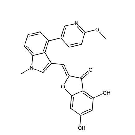 COc1ccc(-c2cccc3c2c(C=C2Oc4cc(O)cc(O)c4C2=O)cn3C)cn1